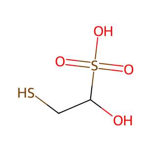 O=S(=O)(O)C(O)CS